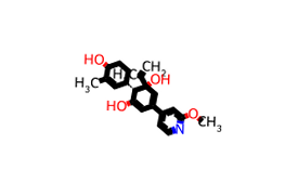 C=C(C)C1(O)C=C(c2ccnc(OC)c2)C=C(O)[C@@H]1C1C=C(C)C(O)CC1